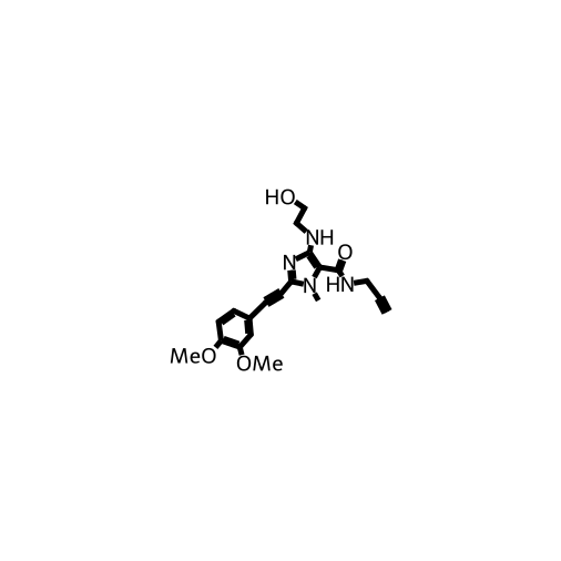 C#CCNC(=O)c1c(NCCO)nc(C#Cc2ccc(OC)c(OC)c2)n1C